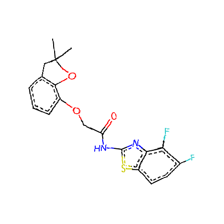 CC1(C)Cc2cccc(OCC(=O)Nc3nc4c(F)c(F)ccc4s3)c2O1